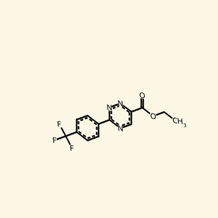 CCOC(=O)c1cnc(-c2ccc(C(F)(F)F)cc2)nn1